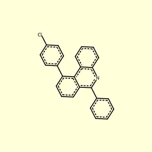 Clc1ccc(-c2cccc3c(-c4ccccc4)nc4ccccc4c23)cc1